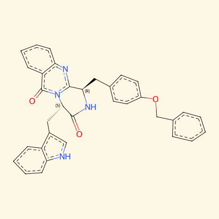 O=C1N[C@H](Cc2ccc(OCc3ccccc3)cc2)c2nc3ccccc3c(=O)n2[C@H]1Cc1c[nH]c2ccccc12